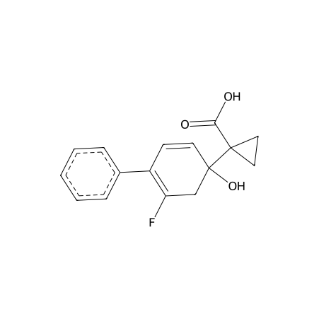 O=C(O)C1(C2(O)C=CC(c3ccccc3)=C(F)C2)CC1